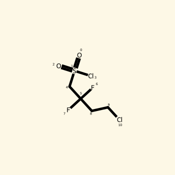 O=S(=O)(Cl)CC(F)(F)CCCl